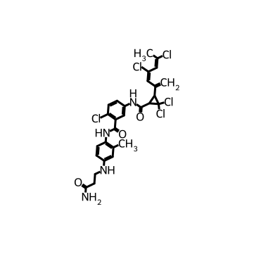 C=C(/C=C(Cl)\C=C(/C)Cl)C1C(C(=O)Nc2ccc(Cl)c(C(=O)Nc3ccc(NCCC(N)=O)cc3C)c2)C1(Cl)Cl